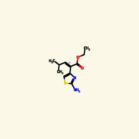 CCOC(=O)/C(=C/C(C)C)c1csc(N)n1